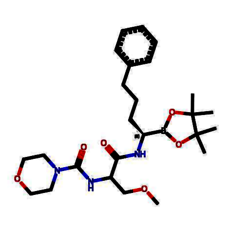 COCC(NC(=O)N1CCOCC1)C(=O)N[C@@H](CCCc1ccccc1)B1OC(C)(C)C(C)(C)O1